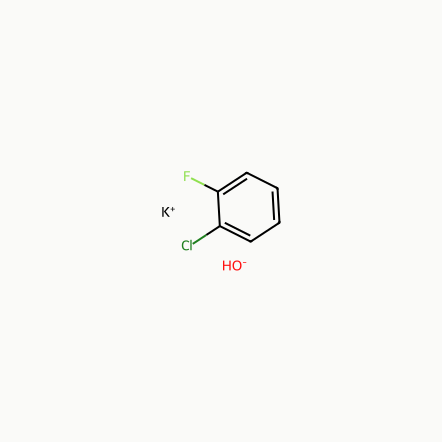 Fc1ccccc1Cl.[K+].[OH-]